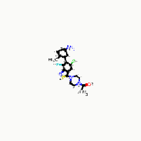 CC(=O)N1CCN(c2snc3c(F)c(-c4cc(N)ccc4C)c(Cl)cc23)CC1